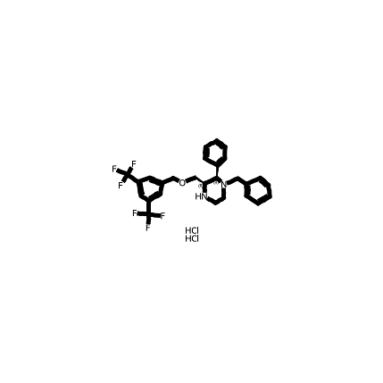 Cl.Cl.FC(F)(F)c1cc(COC[C@@H]2NCCN(Cc3ccccc3)[C@@H]2c2ccccc2)cc(C(F)(F)F)c1